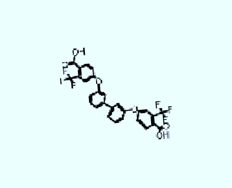 O=C(O)c1ccc(Oc2cccc(-c3cccc(Oc4ccc(C(=O)O)c(C(F)(F)F)c4)c3)c2)cc1C(F)(F)F